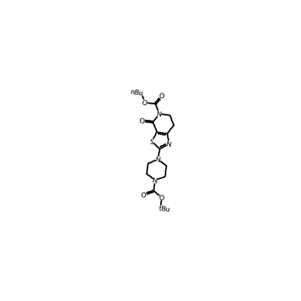 CCCCOC(=O)N1CCc2nc(N3CCN(C(=O)OC(C)(C)C)CC3)sc2C1=O